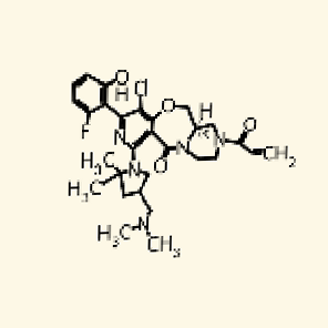 C=CC(=O)N1CCN2C(=O)c3c(N4CC(CN(C)C)CC4(C)C)nc(-c4c(O)cccc4F)c(Cl)c3OC[C@H]2C1